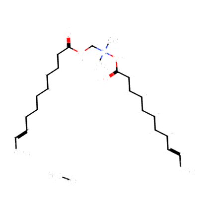 CCC.CCCCCCCCC=CCCCCCCCC(=O)OC[N+](C)(C)OC(=O)CCCCCCCC=CCCCCCCCC